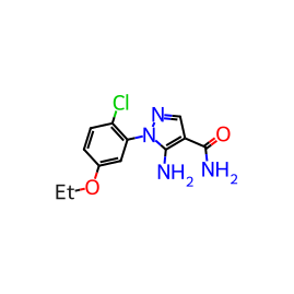 CCOc1ccc(Cl)c(-n2ncc(C(N)=O)c2N)c1